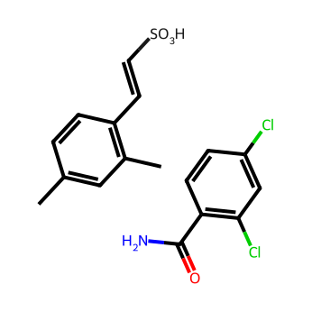 Cc1ccc(/C=C/S(=O)(=O)O)c(C)c1.NC(=O)c1ccc(Cl)cc1Cl